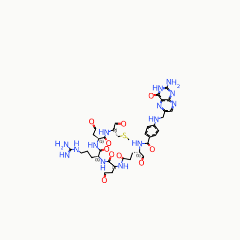 CSC[C@@H](C=O)NC(=O)[C@H](CC=O)NC(=O)[C@H](CCCNC(=N)N)NC(=O)[C@H](CC=O)NC(=O)CC[C@@H](C=O)NC(=O)c1ccc(NCc2cnc3nc(N)[nH]c(=O)c3n2)cc1